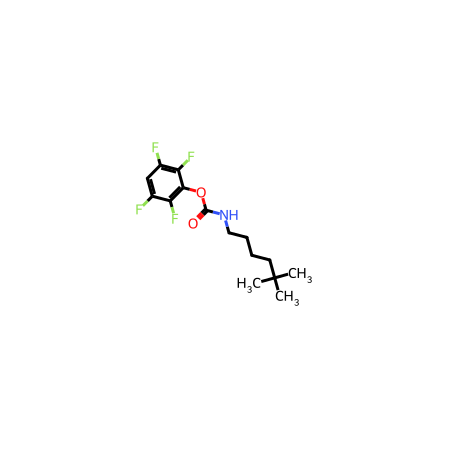 CC(C)(C)CCCCNC(=O)Oc1c(F)c(F)cc(F)c1F